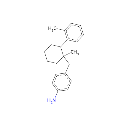 Cc1ccccc1C1CCCCC1(C)Cc1ccc(N)cc1